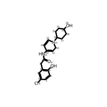 O=C(Cc1cc(Cl)ccc1O)NC1=CCN(C2CCC(O)CC2)C=C1